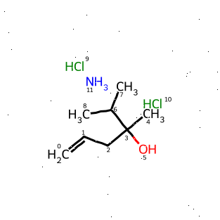 C=CCC(C)(O)C(C)C.Cl.Cl.N